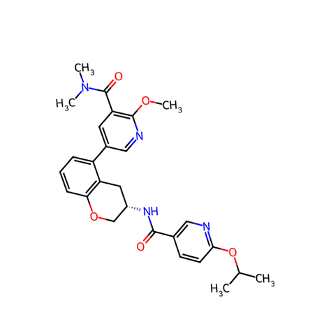 COc1ncc(-c2cccc3c2C[C@H](NC(=O)c2ccc(OC(C)C)nc2)CO3)cc1C(=O)N(C)C